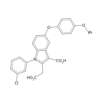 CC(C)Oc1ccc(Oc2ccc3c(c2)c(C(=O)O)c(CC(=O)O)n3-c2cccc(Cl)c2)cc1